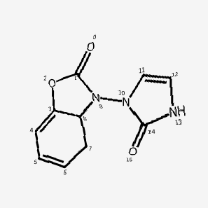 O=C1OC2=CC=CCC2N1n1cc[nH]c1=O